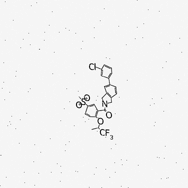 CC(Oc1ccc(S(C)(=O)=O)cc1C(=O)N1Cc2ccc(-c3cccc(Cl)c3)cc2C1)C(F)(F)F